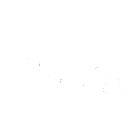 O=C1C(N2CC[C@@H](c3ccc(O)c(F)c3)[C@H](F)C2)CCN1Cc1ccc(C(F)F)cc1